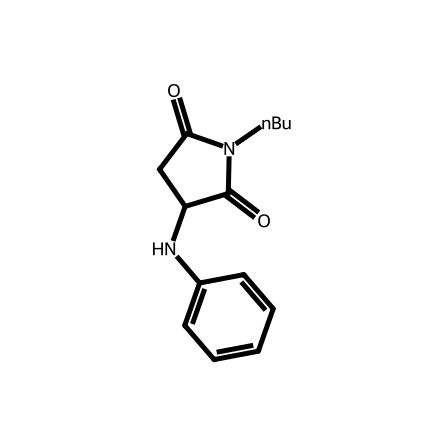 CCCCN1C(=O)CC(Nc2ccccc2)C1=O